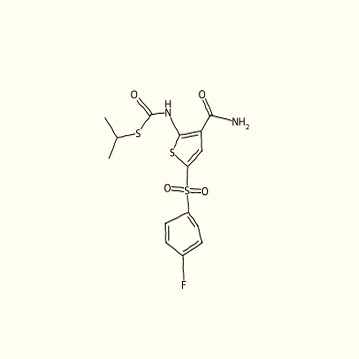 CC(C)SC(=O)Nc1sc(S(=O)(=O)c2ccc(F)cc2)cc1C(N)=O